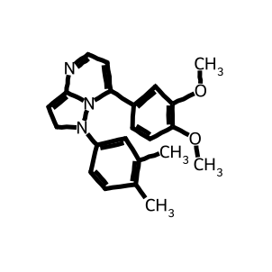 COc1ccc(C2=CC=NC3=CCN(c4ccc(C)c(C)c4)N32)cc1OC